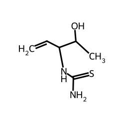 C=CC(NC(N)=S)C(C)O